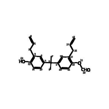 C=CCc1cc(C(C)(C)c2ccc(OC=O)c(CC=C)c2)ccc1O